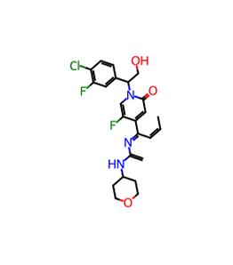 C=C(/N=C(\C=C/C)c1cc(=O)n(C(CO)c2ccc(Cl)c(F)c2)cc1F)NC1CCOCC1